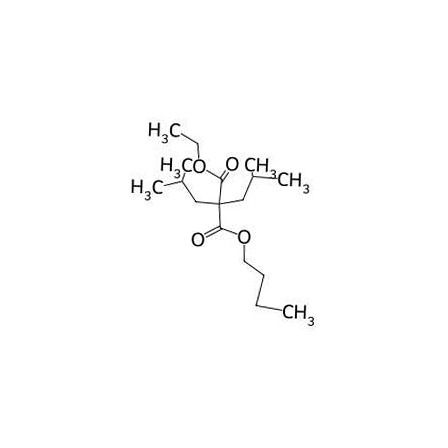 CCCCOC(=O)C(CC(C)C)(CC(C)C)C(=O)OCC